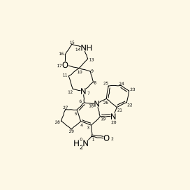 NC(=O)c1c2c(c(N3CCC4(CC3)CNCCO4)n3c1nc1ccccc13)CCC2